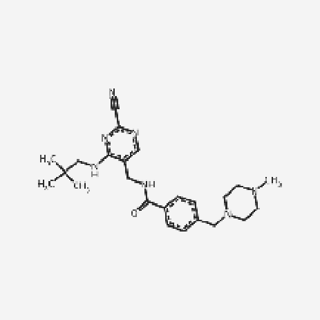 CN1CCN(Cc2ccc(C(=O)NCc3cnc(C#N)nc3NCC(C)(C)C)cc2)CC1